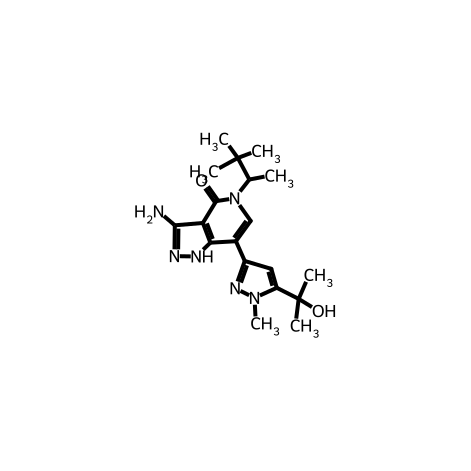 CC(n1cc(-c2cc(C(C)(C)O)n(C)n2)c2[nH]nc(N)c2c1=O)C(C)(C)C